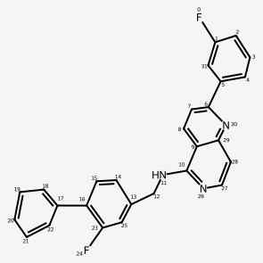 Fc1cccc(-c2ccc3c(NCc4ccc(-c5ccccc5)c(F)c4)nccc3n2)c1